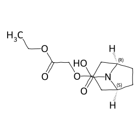 CCOC(=O)COC1C[C@H]2CC[C@@H](C1)N2C(=O)O